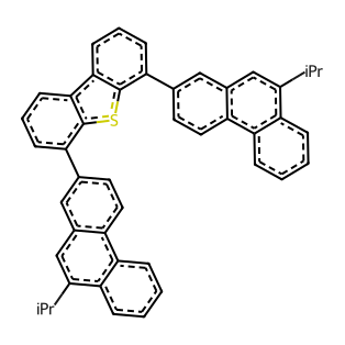 CC(C)c1cc2cc(-c3cccc4c3sc3c(-c5ccc6c(c5)cc(C(C)C)c5ccccc56)cccc34)ccc2c2ccccc12